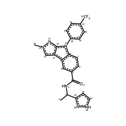 CC(NC(=O)c1ccc2c(c1)c1cn(C)nc1n2-c1ccc(C(F)(F)F)cc1)c1cc[nH]n1